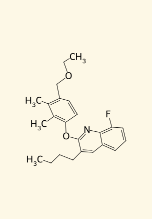 CCCCc1cc2cccc(F)c2nc1Oc1ccc(COCC)c(C)c1C